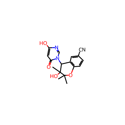 CC1(C)Oc2ccc(C#N)cc2C(n2cnc(O)cc2=O)C1(C)O